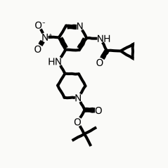 CC(C)(C)OC(=O)N1CCC(Nc2cc(NC(=O)C3CC3)ncc2[N+](=O)[O-])CC1